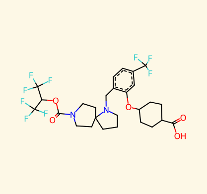 O=C(O)C1CCC(Oc2cc(C(F)(F)F)ccc2CN2CCCC23CCN(C(=O)OC(C(F)(F)F)C(F)(F)F)CC3)CC1